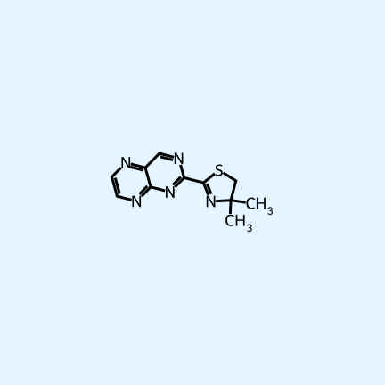 CC1(C)CSC(c2ncc3nccnc3n2)=N1